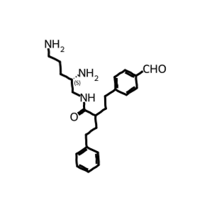 NCCC[C@H](N)CNC(=O)C(CCc1ccccc1)CCc1ccc(C=O)cc1